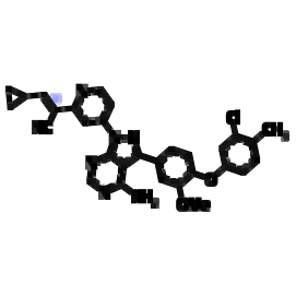 COc1cc(-c2nn(-c3ccnc(/C(C#N)=C/C4CC4)c3)c3ncnc(N)c23)ccc1Oc1ccc(C)c(Cl)c1